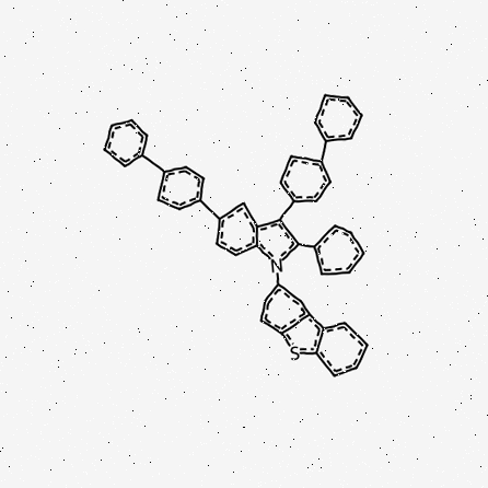 c1ccc(-c2ccc(-c3ccc4c(c3)c(-c3ccc(-c5ccccc5)cc3)c(-c3ccccc3)n4-c3ccc4sc5ccccc5c4c3)cc2)cc1